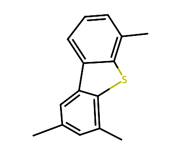 Cc1cc(C)c2sc3c(C)cccc3c2c1